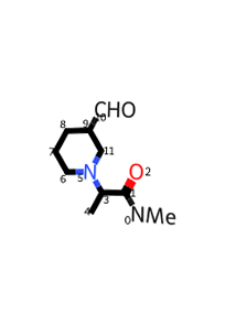 CNC(=O)C(C)N1CCCC(C=O)C1